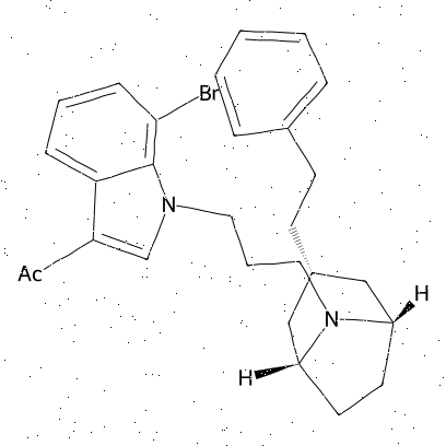 CC(=O)c1cn(CCCN2[C@@H]3CC[C@H]2C[C@@H](CCc2ccccc2)C3)c2c(Br)cccc12